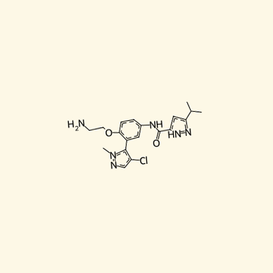 CC(C)c1cc(C(=O)Nc2ccc(OCCN)c(-c3c(Cl)cnn3C)c2)[nH]n1